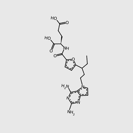 CCC(CCn1ccc2nc(N)nc(N)c21)c1ccc(C(=O)N[C@H](CCC(=O)O)C(=O)O)o1